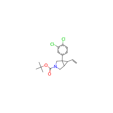 C=CC1C2CN(C(=O)OC(C)(C)C)CC12c1ccc(Cl)c(Cl)c1